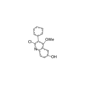 COc1c(-c2ccccc2)c(Cl)nc2ccc(O)cc12